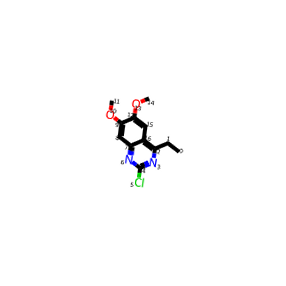 CCc1nc(Cl)nc2cc(OC)c(OC)cc12